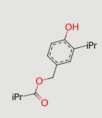 CC(C)C(=O)OCc1ccc(O)c(C(C)C)c1